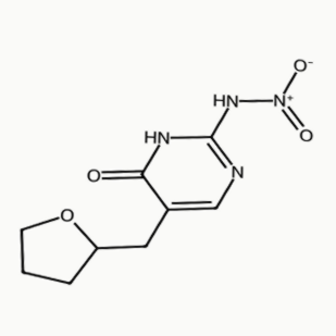 O=c1[nH]c(N[N+](=O)[O-])ncc1CC1CCCO1